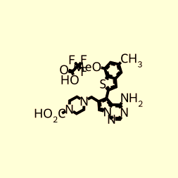 COc1cc(C)cc2cc(-c3c(CN4CCN(C(=O)O)CC4)cn4ncnc(N)c34)sc12.O=C(O)C(F)(F)F